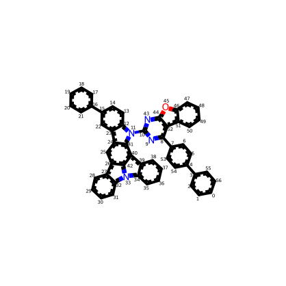 c1ccc(-c2ccc(-c3nc(-n4c5ccc(-c6ccccc6)cc5c5cc6c7ccccc7n7c8ccccc8c(c54)c67)nc4oc5ccccc5c34)cc2)cc1